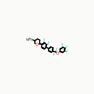 CCCC1CCC(c2ccc(-c3ccc(C(F)(F)Oc4cc(F)c(F)c(F)c4)cc3)c(F)c2F)OC1